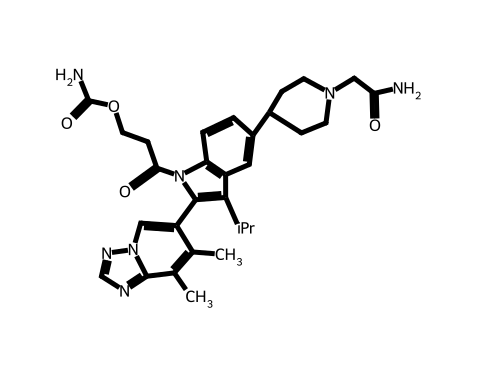 Cc1c(-c2c(C(C)C)c3cc(C4CCN(CC(N)=O)CC4)ccc3n2C(=O)CCOC(N)=O)cn2ncnc2c1C